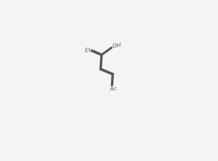 CCC(O)CCC(C)=O